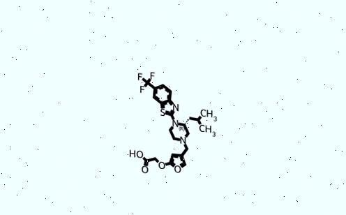 CC(C)C[C@@H]1CN(Cc2coc(OCC(=O)O)c2)CCN1c1nc2ccc(C(F)(F)F)cc2s1